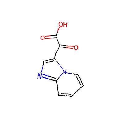 O=C(O)C(=O)c1cnc2ccccn12